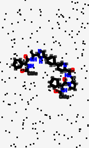 COC(=O)N[C@@H](C(=O)N[C@@H](C)c1ncc(-c2ccc(-c3ccc(C(=O)NC[C@@H]4CCCN4C(=O)[C@H](NC(=O)OC)c4ccccc4)nc3)cc2)[nH]1)c1ccccc1